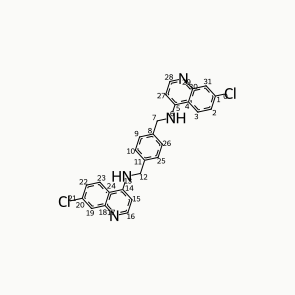 Clc1ccc2c(NCc3ccc(CNc4ccnc5cc(Cl)ccc45)cc3)ccnc2c1